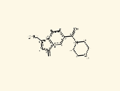 O=Cc1n[nH]c2cc(C(=O)N3CCOCC3)ccc12